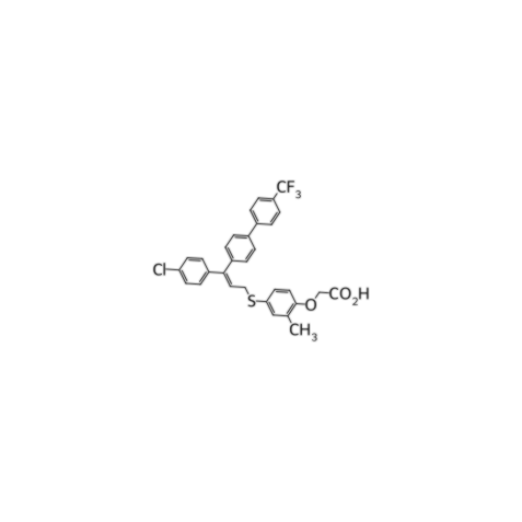 Cc1cc(SCC=C(c2ccc(Cl)cc2)c2ccc(-c3ccc(C(F)(F)F)cc3)cc2)ccc1OCC(=O)O